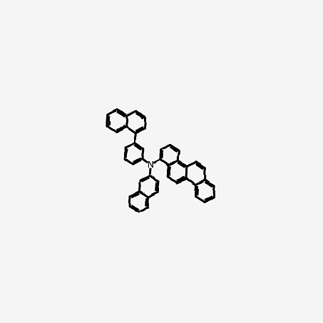 c1cc(-c2cccc3ccccc23)cc(N(c2ccc3ccccc3c2)c2cccc3c2ccc2c4ccccc4ccc32)c1